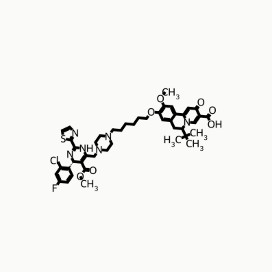 COC(=O)C1=C(CN2CCN(CCCCCCOc3cc4c(cc3OC)-c3cc(=O)c(C(=O)O)cn3C(C(C)(C)C)C4)CC2)NC(c2nccs2)=N[C@H]1c1ccc(F)cc1Cl